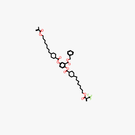 C=C(C)C(=O)OCCCCCCCCC1CCC(C(=O)Oc2ccc(OC(=O)C3CCC(CCCCCCCCOC(=O)C(=C)C(F)(F)F)CC3)c(C(=O)OCc3ccccc3)c2)CC1